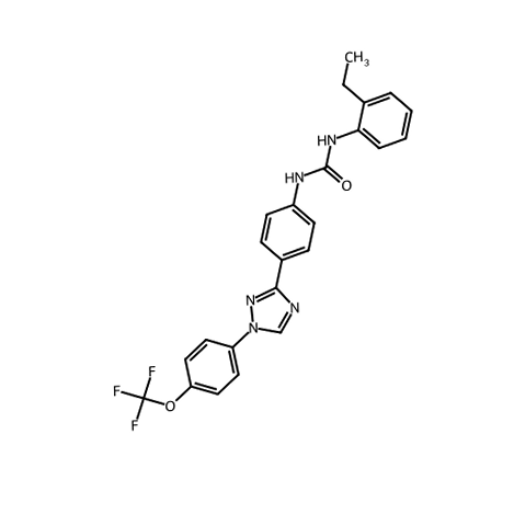 CCc1ccccc1NC(=O)Nc1ccc(-c2ncn(-c3ccc(OC(F)(F)F)cc3)n2)cc1